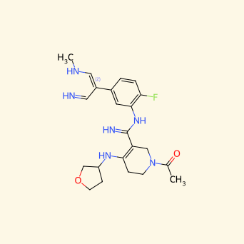 CN/C=C(\C=N)c1ccc(F)c(NC(=N)C2=C(NC3CCOC3)CCN(C(C)=O)C2)c1